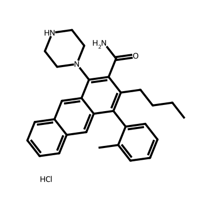 CCCCc1c(C(N)=O)c(N2CCNCC2)c2cc3ccccc3cc2c1-c1ccccc1C.Cl